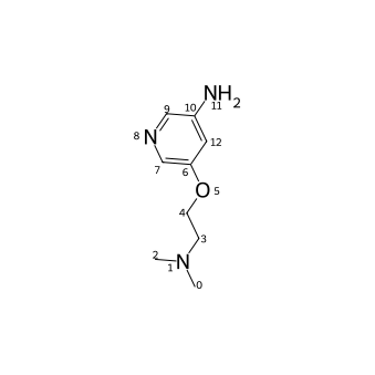 CN(C)CCOc1cncc(N)c1